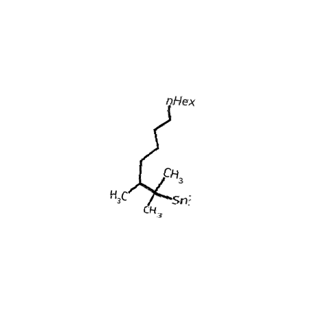 CCCCCCCCCCC(C)[C](C)(C)[Sn]